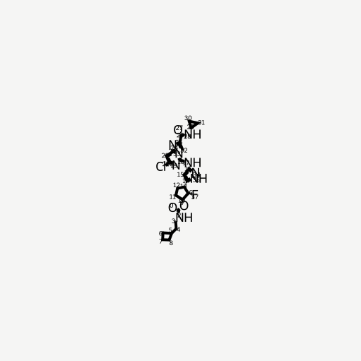 O=C(NCCC1CCC1)O[C@@H]1CC[C@H](c2cc(Nc3nc(Cl)cc4nc(C(=O)NC5CC5)cn34)n[nH]2)[C@H]1F